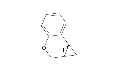 c1ccc2c(c1)OCC1C[C@@H]21